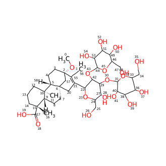 CO[C@]12CC[C@@H]3[C@](CC[C@H]4[C@@]3(C)CCC[C@@]4(C)C(=O)O)(CC(C3OC(CO)C(O)C(OC4OC(CO)C(O)C(O)C4O)C3OC3OC(CO)C(O)C(O)C3O)=C1C)C2